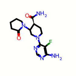 NC(=O)[C@H]1CCN(c2ncnc(N)c2F)CC1N1CCCCC1=O